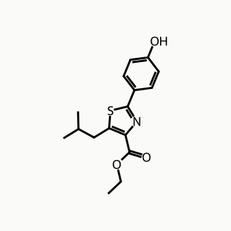 CCOC(=O)c1nc(-c2ccc(O)cc2)sc1CC(C)C